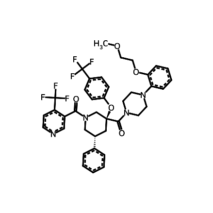 COCCOc1ccccc1N1CCN(C(=O)[C@]2(Oc3ccc(C(F)(F)F)cc3)C[C@H](c3ccccc3)CN(C(=O)c3cnccc3C(F)(F)F)C2)CC1